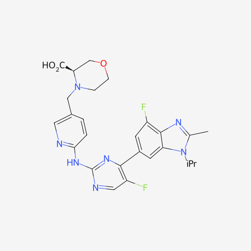 Cc1nc2c(F)cc(-c3nc(Nc4ccc(CN5CCOC[C@@H]5C(=O)O)cn4)ncc3F)cc2n1C(C)C